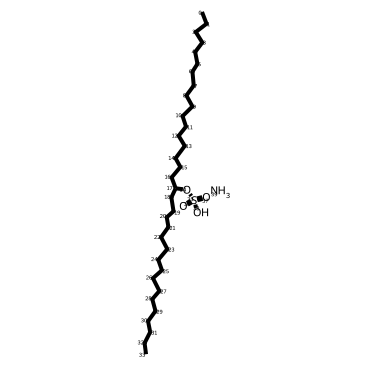 CCCCCCCCCCCCCCCCCC(CCCCCCCCCCCCCCCC)OS(=O)(=O)O.N